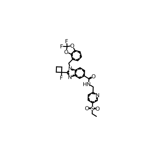 CCS(=O)(=O)c1ccc(CNC(=O)c2ccc3c(c2)nc(C2(F)CCC2)n3Cc2cccc3c2OC(F)(F)O3)nc1